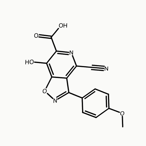 COc1ccc(-c2noc3c(O)c(C(=O)O)nc(C#N)c23)cc1